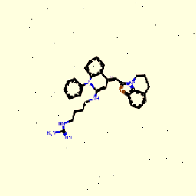 N=C(N)NCCCCNC1=C/C(=C\c2sc3cccc4c3[n+]2CCC4)c2ccccc2N1c1ccccc1